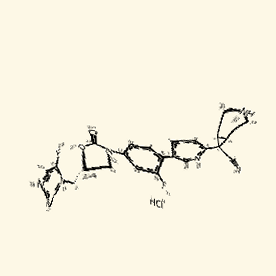 Cl.N#CC1(c2ccc(-c3ccc(N4C[C@H](Cn5nncc5F)OC4=O)cc3F)cn2)C2CNCC21